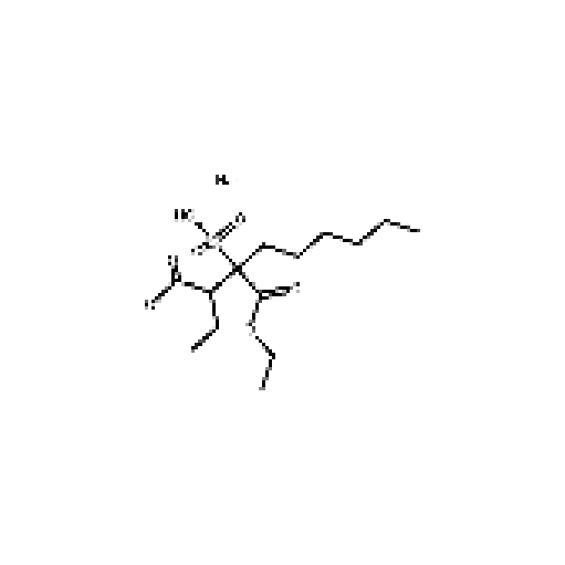 CCCCCCC(C(=O)OCC)(C(CC)C(=O)[O-])S(=O)(=O)O.[Na+]